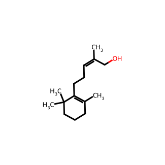 CC(=CCCC1=C(C)CCCC1(C)C)CO